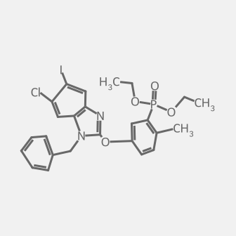 CCOP(=O)(OCC)c1cc(Oc2nc3cc(I)c(Cl)cc3n2Cc2ccccc2)ccc1C